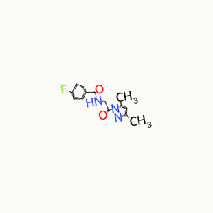 Cc1cc(C)n(C(=O)CNC(=O)c2ccc(F)cc2)n1